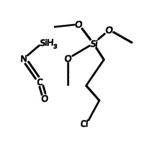 CO[Si](CCCCl)(OC)OC.O=C=N[SiH3]